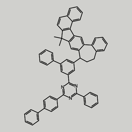 CC1(C)c2cc3c(cc2-c2c1ccc1ccccc21)-c1ccccc1CCC3c1cc(-c2ccccc2)cc(-c2nc(-c3ccccc3)nc(-c3ccc(-c4ccccc4)cc3)n2)c1